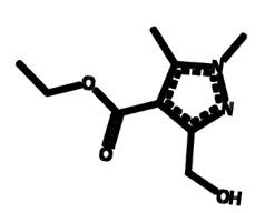 CCOC(=O)c1c(CO)nn(C)c1C